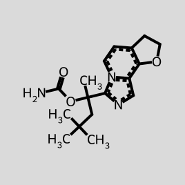 CC(C)(C)CC(C)(OC(N)=O)c1ncc2c3c(ccn12)CCO3